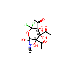 [C-]#[N+][C@@]1(O)OC(Cl)(Cl)[C@](O)(C(C)=O)[C@@](O)(C(C)=O)[C@]1(O)C(C)=O